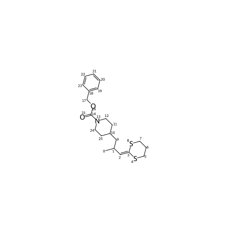 CC(C=C1SCCCS1)CC1CCN(C(=O)OCc2ccccc2)CC1